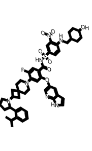 CC(C)c1ccccc1C1CCCN1C1CC2(CCN(c3cc(Oc4cnc5[nH]ccc5c4)c(C(=O)NS(=O)(=O)c4ccc(NCC5CCC(O)CC5)c([N+](=O)[O-])c4)cc3F)CC2)C1